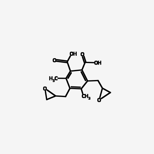 Cc1c(CC2CO2)c(C)c(C(=O)O)c(C(=O)O)c1CC1CO1